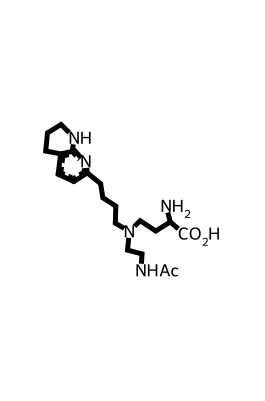 CC(=O)NCCN(CCCCc1ccc2c(n1)NCCC2)CCC(N)C(=O)O